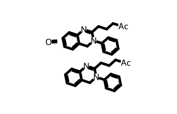 C=O.CC(=O)CCCC1=Nc2ccccc2CN1c1ccccc1.CC(=O)CCCC1=Nc2ccccc2CN1c1ccccc1